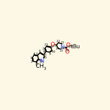 Cc1cccc2cc(-c3ccc(OC4CCN(C(=O)OC(C)(C)C)CC4)cc3)cnc12